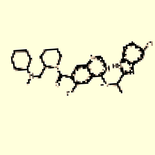 CC(Nc1ncnc2cc(C(=O)N3CCCCC3CN(C)C3CCCCC3)c(Cl)cc12)c1nc2cc(Cl)ccc2[nH]1